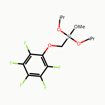 CO[Si](COc1c(F)c(F)c(F)c(F)c1F)(OC(C)C)OC(C)C